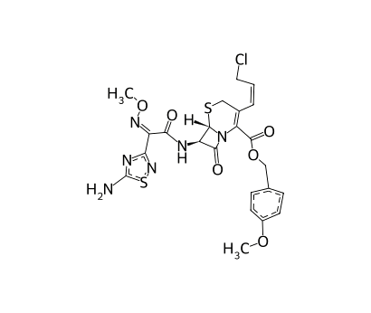 CO/N=C(\C(=O)N[C@@H]1C(=O)N2C(C(=O)OCc3ccc(OC)cc3)=C(/C=C\CCl)CS[C@@H]12)c1nsc(N)n1